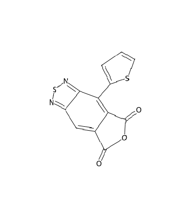 O=C1OC(=O)c2c1cc1nsnc1c2-c1cccs1